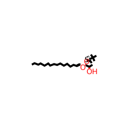 CCCCCCCCCCCCCCC=COC(O[Si](C)(C)C(C)(C)C)C(C)O